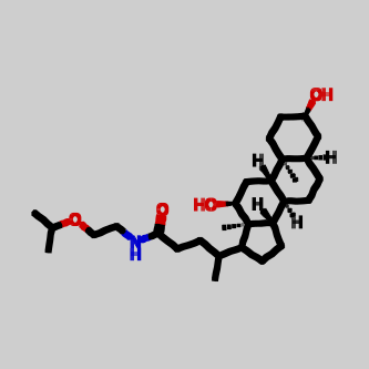 CC(C)OCCNC(=O)CCC(C)C1CC[C@H]2[C@@H]3CC[C@@H]4C[C@H](O)CC[C@]4(C)[C@H]3C[C@H](O)[C@]12C